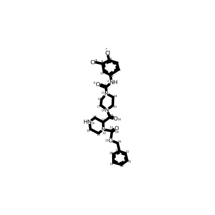 O=C(Nc1ccc(Cl)c(Cl)c1)N1CCN(C(=O)C2CNCCN2C(=O)OCc2ccccc2)CC1